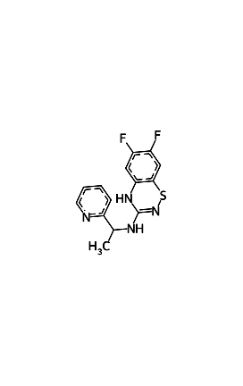 CC(NC1=NSc2cc(F)c(F)cc2N1)c1ccccn1